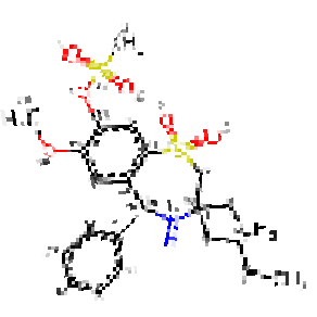 CCCC[C@]1(CC)CS(=O)(=O)c2cc(OS(C)(=O)=O)c(OC)cc2[C@@H](c2ccccc2)N1